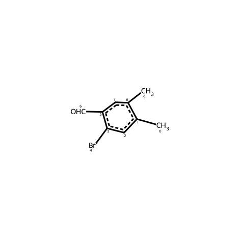 Cc1cc(Br)c(C=O)cc1C